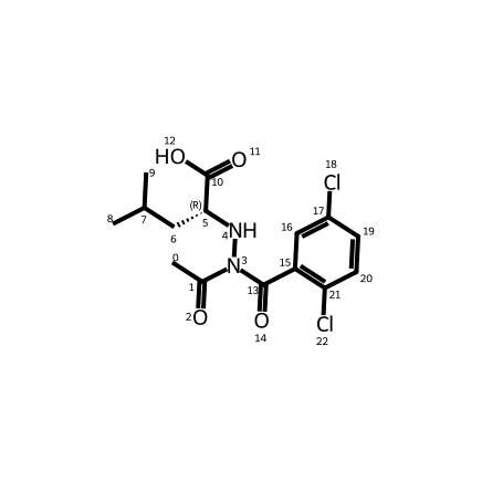 CC(=O)N(N[C@H](CC(C)C)C(=O)O)C(=O)c1cc(Cl)ccc1Cl